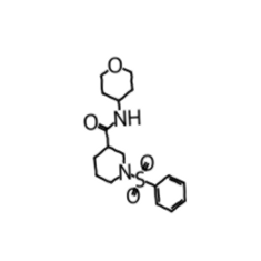 O=C(NC1CCOCC1)C1CCCN(S(=O)(=O)c2ccccc2)C1